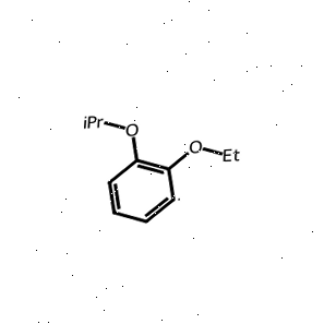 CCOc1[c]cccc1OC(C)C